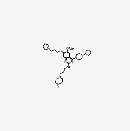 COc1cc2c(N3CCN(C4CCCC4)CC3)nc(NCCCN3CCN(C)CC3)nc2cc1OCCCN1CCCC1